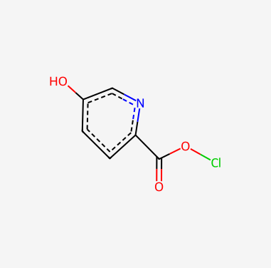 O=C(OCl)c1ccc(O)cn1